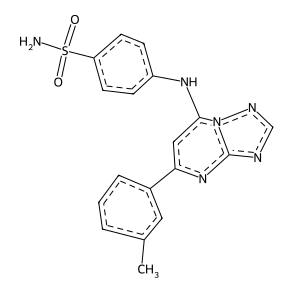 Cc1cccc(-c2cc(Nc3ccc(S(N)(=O)=O)cc3)n3ncnc3n2)c1